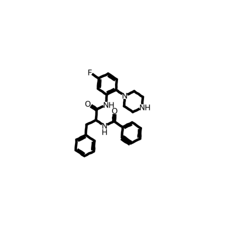 O=C(NC(Cc1ccccc1)C(=O)Nc1cc(F)ccc1N1CCNCC1)c1c#cccc1